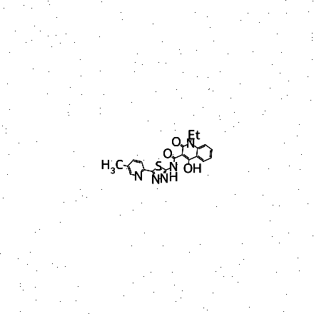 CCn1c(=O)c(C(=O)Nc2nnc(-c3ccc(C)cn3)s2)c(O)c2ccccc21